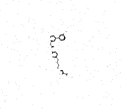 CNC(=O)c1cn(C[C@@H](F)CCc2ccc(NC(=O)Cc3cc(-c4cc#cc(OC(F)(F)F)c4)ccn3)nn2)nn1